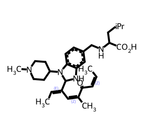 C/C=C\C(=O)/C(C)=C\C(=C/C)C1Nc2cc(CNC(CC(C)C)C(=O)O)ccc2N1C1CCN(C)CC1